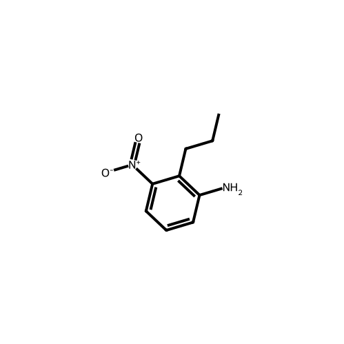 CCCc1c(N)cccc1[N+](=O)[O-]